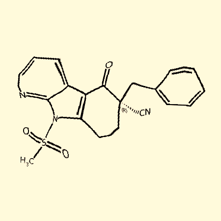 CS(=O)(=O)n1c2c(c3cccnc31)C(=O)[C@@](C#N)(Cc1ccccc1)CC2